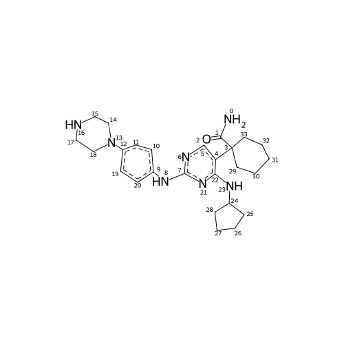 NC(=O)C1(c2cnc(Nc3ccc(N4CCNCC4)cc3)nc2NC2CCCC2)CCCCC1